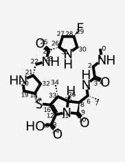 CNCC(=O)N[C@H](C)[C@H]1C(=O)N2C(C(=O)O)=C(S[C@@H]3CN[C@H](CNC(=O)[C@@H]4C[C@H](F)CN4)C3)[C@H](C)[C@H]12